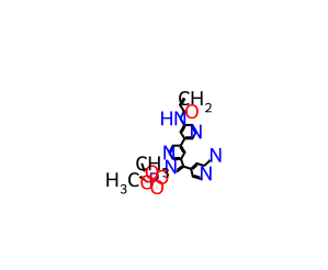 C=CC(=O)Nc1cncc(-c2cnc3c(c2)c(-c2ccnc(C#N)c2)cn3COP(=O)(OCC)OCC)c1